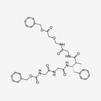 CC(C(=O)NCC(=O)NCOCC(=O)OCc1ccccc1)[C@H](Cc1ccccc1)NC(=O)CNC(=O)CNC(=O)OCc1ccccc1